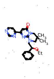 CCOC(CN1CC(C)(C)Cn2c1nc(-c1ccncn1)cc2=O)c1ccccc1